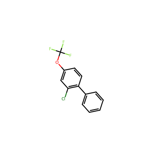 FC(F)(F)Oc1ccc(-c2ccccc2)c(Cl)c1